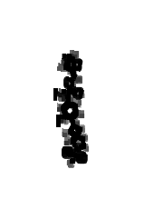 CS(=O)(=O)N1CCC2(CC(c3ccc(NC(=O)OCc4cnco4)cc3F)C2)C1